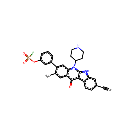 C#Cc1ccc2c(c1)[nH]c1c2c(=O)c2cc(C)c(-c3cccc(OS(=O)(=O)F)c3)cc2n1C1CCNCC1